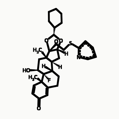 C[C@]12C=CC(=O)C=C1CC[C@H]1[C@@H]3C[C@H]4O[C@@H](C5CCCCC5)O[C@@]4(C(=O)CSc4ccccn4)[C@@]3(C)C[C@H](O)[C@@]12F